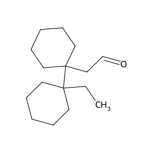 CCC1(C2(CC=O)CCCCC2)CCCCC1